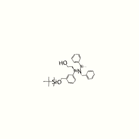 C[C@@H](c1ccccc1)N(Cc1ccccc1)[C@H](CCO)c1cccc(CO[Si](C)(C)C(C)(C)C)c1